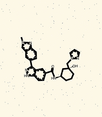 Cn1cc2cc(-c3n[nH]c4ccc(C(=O)N[C@@H]5CCC[C@](O)(Cn6cccn6)C5)cc34)ccc2n1